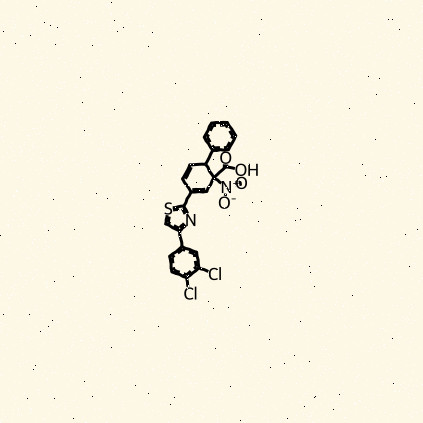 O=C(O)C1([N+](=O)[O-])C=C(c2nc(-c3ccc(Cl)c(Cl)c3)cs2)C=CC1c1ccccc1